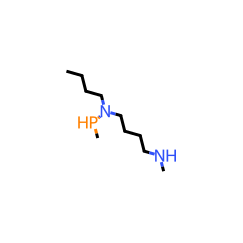 CCCCN(CCCCNC)PC